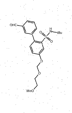 COCCOCOc1ccc(-c2cccc(C=O)c2)c(S(=O)(=O)NC(C)(C)C)c1